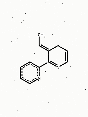 CC=C1CC=CN=C1c1ccccn1